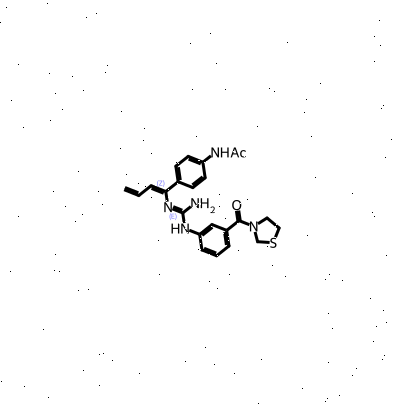 C=C/C=C(\N=C(/N)Nc1cccc(C(=O)N2CCSC2)c1)c1ccc(NC(C)=O)cc1